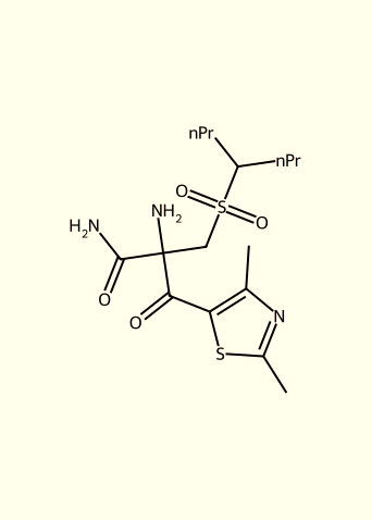 CCCC(CCC)S(=O)(=O)CC(N)(C(N)=O)C(=O)c1sc(C)nc1C